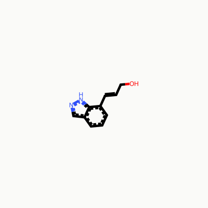 OC/C=C/c1cccc2cn[nH]c12